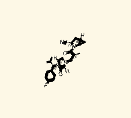 CC(C)[C@H](c1ccc(F)cc1)N1C(=O)[C@@H]2C[C@H]1CN2C[C@H](C)C(=O)N1C2C[C@H]2C[C@H]1C#N